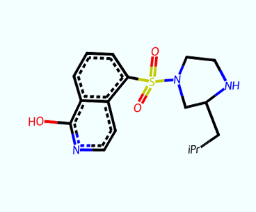 CC(C)CC1CN(S(=O)(=O)c2cccc3c(O)nccc23)CCN1